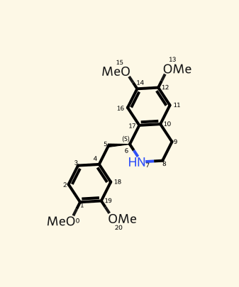 COc1ccc(C[C@@H]2NCCc3cc(OC)c(OC)cc32)cc1OC